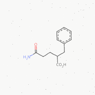 NC(=O)CCC(Cc1ccccc1)C(=O)O